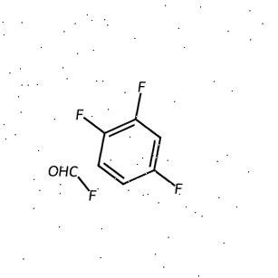 Fc1ccc(F)c(F)c1.O=CF